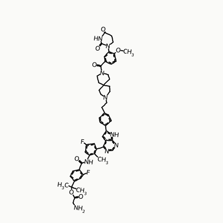 COc1ccc(C(=O)N2CCC3(CCN(CCc4ccc(-c5cc6c(-c7cc(F)cc(NC(=O)c8ccc(C(C)(C)OC(=O)CN)cc8F)c7C)ncnc6[nH]5)cc4)CC3)CC2)cc1N1CCC(=O)NC1=O